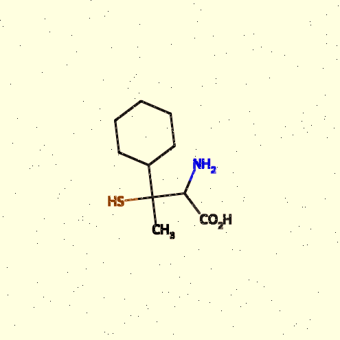 CC(S)(C1CCCCC1)C(N)C(=O)O